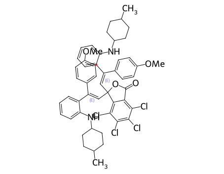 COc1ccc(/C(=C\C2(/C=C(\c3ccc(OC)cc3)c3ccccc3NC3CCC(C)CC3)OC(=O)c3c(Cl)c(Cl)c(Cl)c(Cl)c32)c2ccccc2NC2CCC(C)CC2)cc1